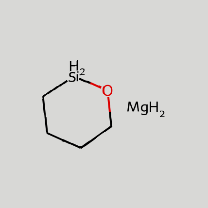 C1CC[SiH2]OC1.[MgH2]